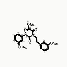 COc1cccc(CCn2c(=O)c(OC)nn(-c3cccc(NC(C)=O)c3)c2=O)c1